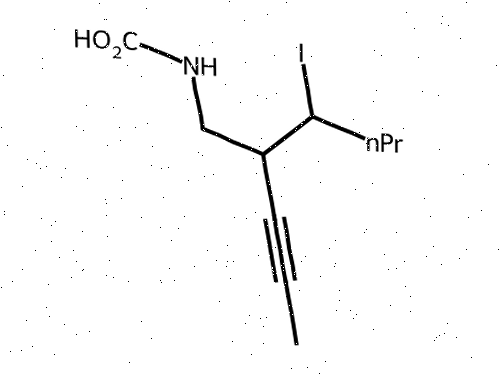 CC#CC(CNC(=O)O)C(I)CCC